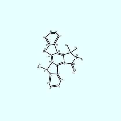 CCn1c2ccccc2c2c3c(c4c5ccccc5[nH]c4c21)C(C)(C)N(C)C3=O